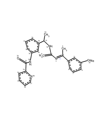 C=C(/N=C(\C)c1cccc(OC)c1)NC(C)c1cccc(NC(=O)c2ccccn2)c1